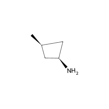 C[C@H]1C[C@@H](N)C1